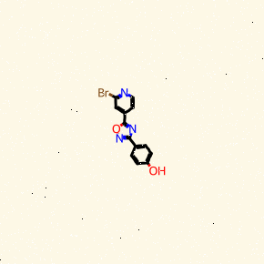 Oc1ccc(-c2noc(-c3ccnc(Br)c3)n2)cc1